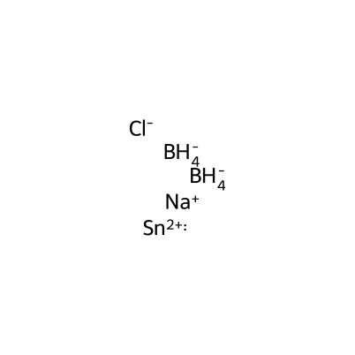 [BH4-].[BH4-].[Cl-].[Na+].[Sn+2]